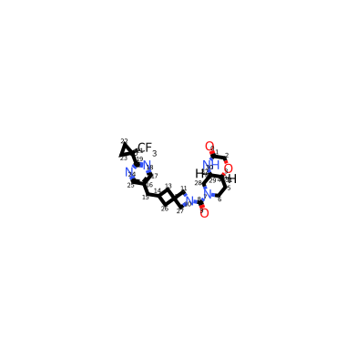 O=C1CO[C@H]2CCN(C(=O)N3CC4(CC(Cc5cnc(C6(C(F)(F)F)CC6)nc5)C4)C3)C[C@H]2N1